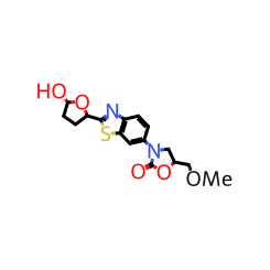 COCC1CN(c2ccc3nc(C4CCC(O)O4)sc3c2)C(=O)O1